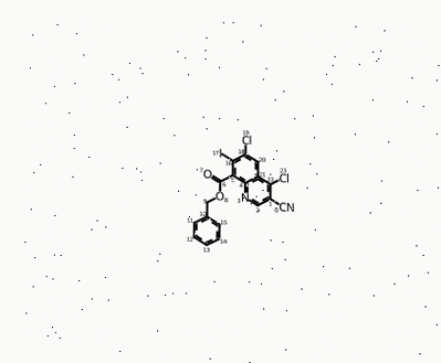 N#Cc1cnc2c(C(=O)OCc3ccccc3)c(I)c(Cl)cc2c1Cl